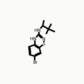 CC(NC1=NSc2cc(Br)ccc2N1)C(C)(C)C